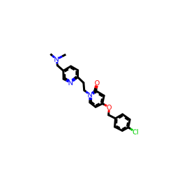 CN(C)Cc1ccc(CCn2ccc(OCc3ccc(Cl)cc3)cc2=O)nc1